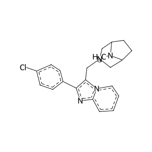 CN1C2CCC1CN(Cc1c(-c3ccc(Cl)cc3)nc3ccccn13)C2